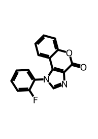 O=c1oc2ccccc2c2c1ncn2-c1ccccc1F